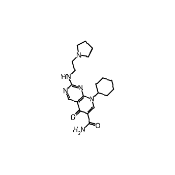 NC(=O)c1cn(C2CCCCC2)c2nc(NCCN3CCCC3)ncc2c1=O